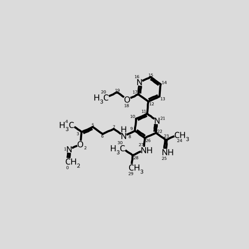 C=NO/C(C)=C\CCNc1cc(-c2cccnc2OCC)nc(C(C)=N)c1NC(C)C